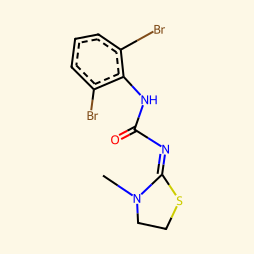 CN1CCS/C1=N/C(=O)Nc1c(Br)cccc1Br